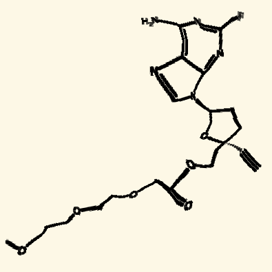 C#C[C@@]1(COC(=O)COCCOCCOC)CC[C@H](n2cnc3c(N)nc(F)nc32)O1